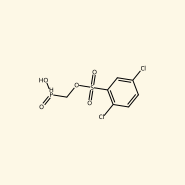 O=[PH](O)COS(=O)(=O)c1cc(Cl)ccc1Cl